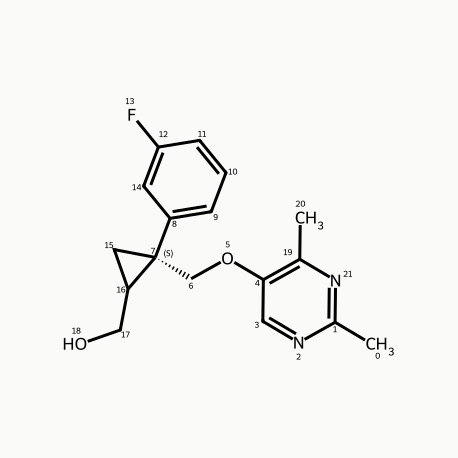 Cc1ncc(OC[C@@]2(c3cccc(F)c3)CC2CO)c(C)n1